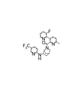 Cc1ccc(-c2ncccc2F)c(C(=O)N2CC3CC(Nc4ccc(C(F)(F)F)cn4)C2C3)n1